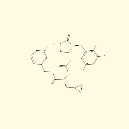 COc1cccc(COC(=O)[C@H](CC2CC2)NC(=O)C[C@@H]2CCC(=O)N2Cc2cc(F)cc(F)c2F)c1